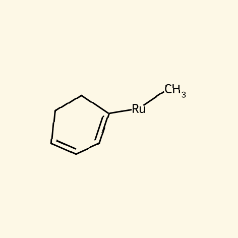 [CH3][Ru][C]1=CC=CCC1